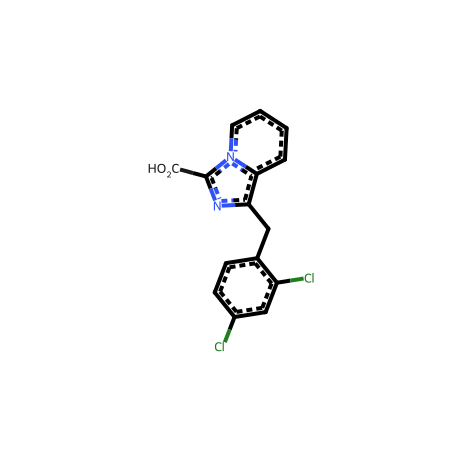 O=C(O)c1nc(Cc2ccc(Cl)cc2Cl)c2ccccn12